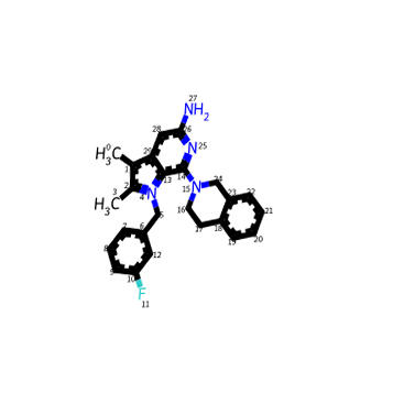 Cc1c(C)n(Cc2cccc(F)c2)c2c(N3CCc4ccccc4C3)nc(N)cc12